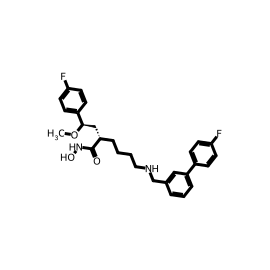 CO[C@H](C[C@H](CCCCNCc1cccc(-c2ccc(F)cc2)c1)C(=O)NO)c1ccc(F)cc1